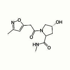 CNC(=O)C1C[C@@H](O)CN1C(=O)Cc1cc(C)no1